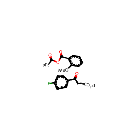 CCCC(=O)OC(=O)c1ccccc1OC.CCOC(=O)CC(=O)c1ccc(F)cc1